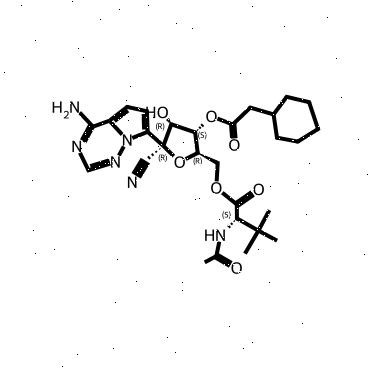 CC(=O)N[C@H](C(=O)OC[C@H]1O[C@@](C#N)(c2ccc3c(N)ncnn23)[C@H](O)[C@@H]1OC(=O)CC1CCCCC1)C(C)(C)C